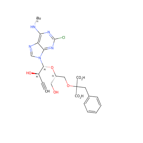 C#C[C@@H](O)[C@@H](O[C@@H](CO)COC(Cc1ccccc1)(C(=O)O)C(=O)O)n1cnc2c(N[C@@H](C)CC)nc(Cl)nc21